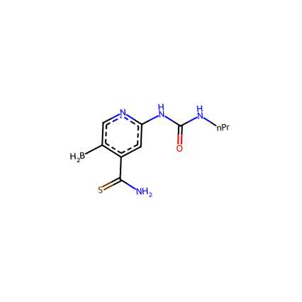 Bc1cnc(NC(=O)NCCC)cc1C(N)=S